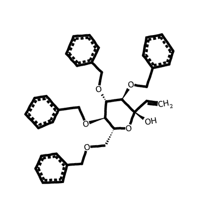 C=C[C@]1(O)O[C@H](COCc2ccccc2)[C@@H](OCc2ccccc2)[C@H](OCc2ccccc2)[C@H]1OCc1ccccc1